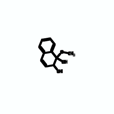 COC1(O)c2ccccc2C=CC1O